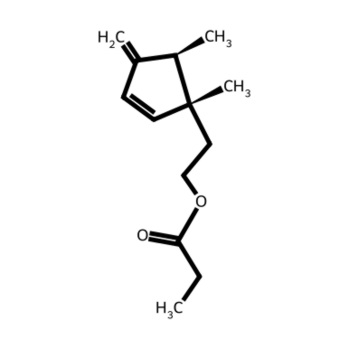 C=C1C=C[C@@](C)(CCOC(=O)CC)[C@@H]1C